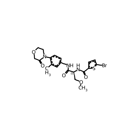 COC[C@H](NC(=O)c1ccc(Br)s1)C(=O)Nc1ccc(N2CCOCC2=O)c(C)c1